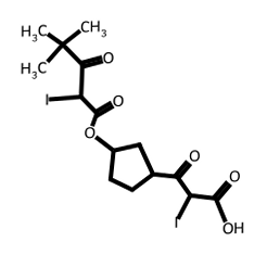 CC(C)(C)C(=O)C(I)C(=O)OC1CCC(C(=O)C(I)C(=O)O)C1